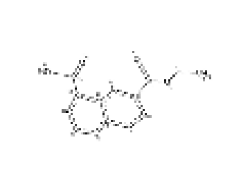 CCOC(=O)c1ccc2cccc(C(=O)O)c2n1